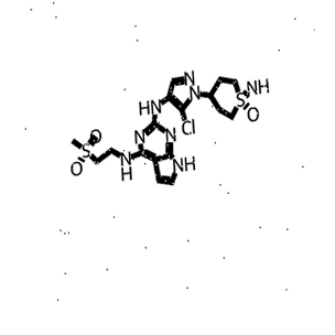 CS(=O)(=O)CCNc1nc(Nc2cnn(C3CCS(=N)(=O)CC3)c2Cl)nc2[nH]ccc12